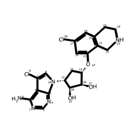 Nc1ncnc2c1c(Cl)cn2[C@@H]1C[C@H](Oc2cc(Cl)cc3c2CNCC3)[C@@H](O)[C@H]1O